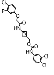 O=C(COc1ccc(Cl)c(F)c1)NC12CC(COC(=O)Nc3ccc(Cl)c(Cl)c3)(C1)C2